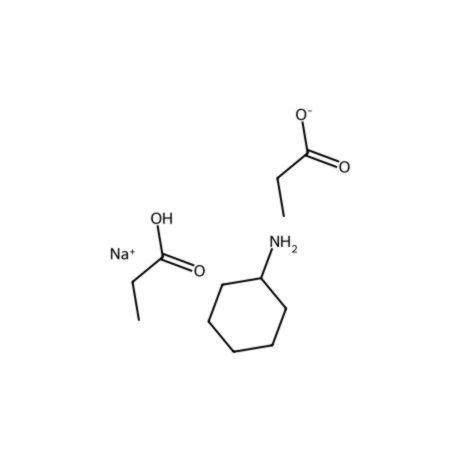 CCC(=O)O.CCC(=O)[O-].NC1CCCCC1.[Na+]